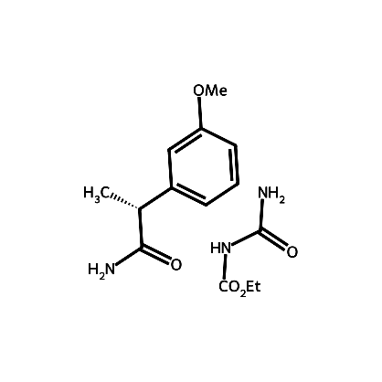 CCOC(=O)NC(N)=O.COc1cccc([C@@H](C)C(N)=O)c1